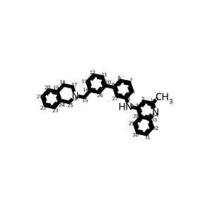 Cc1cc(Nc2cccc(-c3cccc(CN4CCc5ccccc5C4)c3)c2)c2ccccc2n1